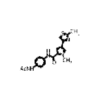 CC(=O)Nc1ccc(NC(=O)c2cc(-c3csc(C)n3)cn2C)cc1